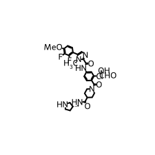 COc1ccc(-c2cnc(C(=O)Nc3ccc(C(=O)N4CCC(C(=O)NC[C@@H]5CCNC5)CC4)c(Cl)c3)n2C)c(F)c1F.O=CO